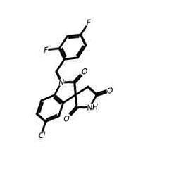 O=C1CC2(C(=O)N1)C(=O)N(Cc1ccc(F)cc1F)c1ccc(Cl)cc12